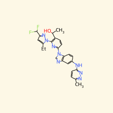 CCc1cc(C(F)F)nn1-c1nc(-n2cnc3cc(Nc4ccc(C)nn4)ccc32)ccc1C(C)O